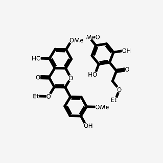 CCOCC(=O)c1c(O)cc(OC)cc1O.CCOc1c(-c2ccc(O)c(OC)c2)oc2cc(OC)cc(O)c2c1=O